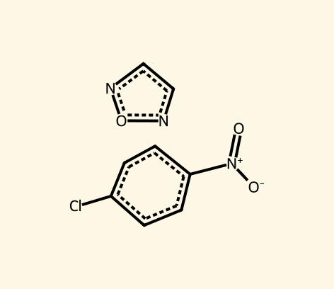 O=[N+]([O-])c1ccc(Cl)cc1.c1cnon1